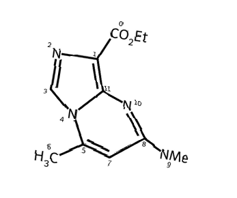 CCOC(=O)c1ncn2c(C)cc(NC)nc12